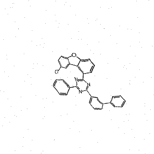 Clc1ccc2oc3cccc(-c4nc(-c5ccccc5)nc(-c5cccc(-c6ccccc6)c5)n4)c3c2c1